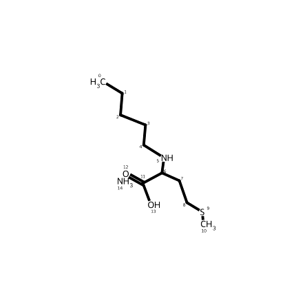 CCCCCNC(CCSC)C(=O)O.N